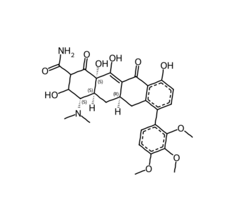 COc1ccc(-c2ccc(O)c3c2C[C@H]2C[C@H]4[C@H](N(C)C)C(O)C(C(N)=O)C(=O)[C@@]4(O)C(O)=C2C3=O)c(OC)c1OC